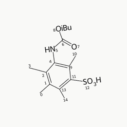 Cc1c(C)c(NC(=O)OCC(C)C)c(C)c(S(=O)(=O)O)c1C